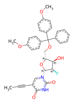 CC#Cc1cn([C@@H]2O[C@H](COC(c3ccccc3)(c3ccc(OC)cc3)c3ccc(OC)cc3)[C@@H](O)[C@H]2F)c(=O)[nH]c1=O